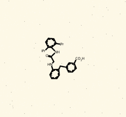 CC(C)c1cccc(C(C)C)c1NC(=O)CNc1ccccc1Cc1cccc(C(=O)O)c1